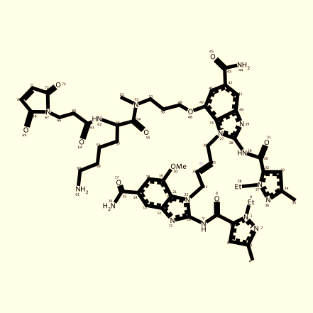 CCn1nc(C)cc1C(=O)Nc1nc2cc(C(N)=O)cc(OC)c2n1C/C=C/Cn1c(NC(=O)c2cc(C)nn2CC)nc2cc(C(N)=O)cc(OCCCN(C)C(=O)C(CCCCN)NC(=O)CCN3C(=O)C=CC3=O)c21